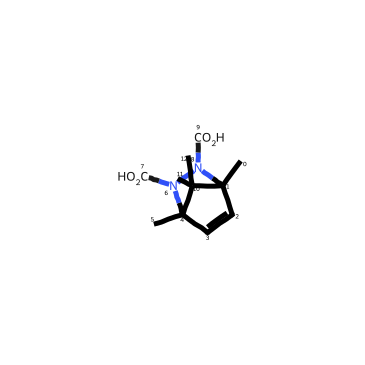 CC12C=CC(C)(N(C(=O)O)N1C(=O)O)C2(C)C